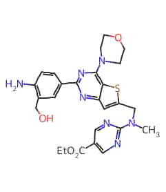 CCOC(=O)c1cnc(N(C)Cc2cc3nc(-c4ccc(N)c(CO)c4)nc(N4CCOCC4)c3s2)nc1